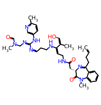 C=CCCC1=N[C@@H](CC(=O)NC/C=C(NCC/C=N\C(=N/CN(C)C=O)Nc2ccc(C)nc2)\C(C)=C/O)C(=O)N(C)c2ccccc21